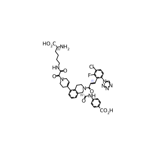 N[C@@H](CCCCNC(=O)C(=O)N1CC=C(c2cccc3c2CCN(C(=O)/C=C/c2c(-n4cnnn4)ccc(Cl)c2F)[C@@H]3C(=O)Nc2ccc(C(=O)O)cc2)CC1)C(=O)O